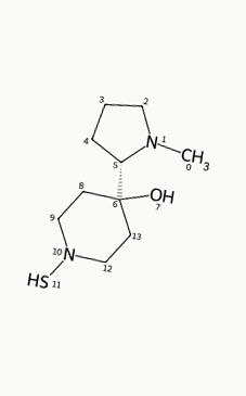 CN1CCC[C@H]1C1(O)CCN(S)CC1